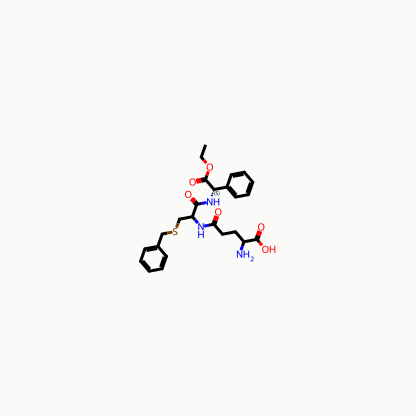 CCOC(=O)[C@@H](NC(=O)C(CSCc1ccccc1)NC(=O)CCC(N)C(=O)O)c1ccccc1